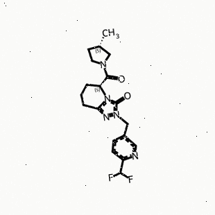 C[C@H]1CCN(C(=O)[C@@H]2CCCc3nn(Cc4ccc(C(F)F)nc4)c(=O)n32)C1